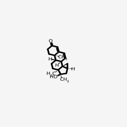 C[C@]12CC[C@H]3[C@@H](C=CC4=CC(=O)CC[C@@]43C)[C@@]13C[C@H]3C[C@@]2(C)O